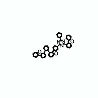 c1ccc(-c2nc(-c3ccc4c(c3)oc3cccc(-c5ccccc5-c5cccc6c5oc5ccccc56)c34)nc(-c3cccc4oc5ccccc5c34)n2)cc1